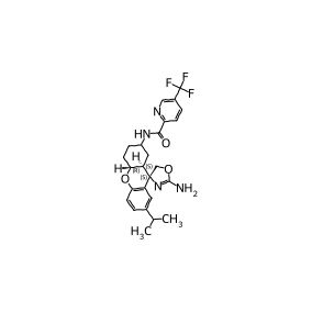 CC(C)c1ccc2c(c1)[C@]1(COC(N)=N1)[C@@H]1CC(NC(=O)c3ccc(C(F)(F)F)cn3)CC[C@H]1O2